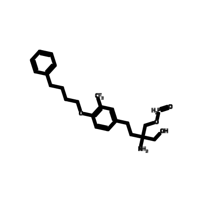 NC(CO)(CCc1ccc(OCCCCc2ccccc2)c(C(F)(F)F)c1)CO[PH2]=O